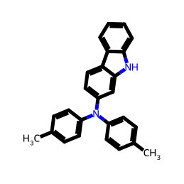 Cc1ccc(N(c2ccc(C)cc2)c2ccc3c(c2)[nH]c2ccccc23)cc1